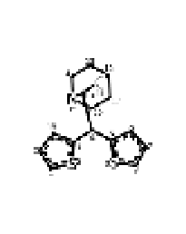 c1csc(C(c2cccs2)C2CC3CCN2CC3)c1